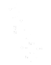 CC1CC(Oc2nn(C)c3cc(NC(=O)c4ncccc4O)ccc23)CCO1